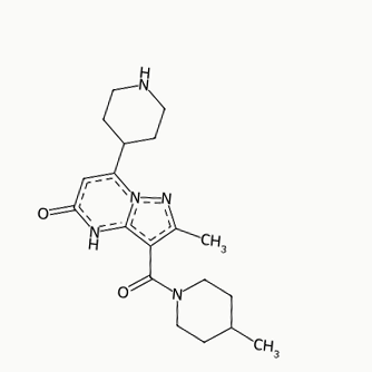 Cc1nn2c(C3CCNCC3)cc(=O)[nH]c2c1C(=O)N1CCC(C)CC1